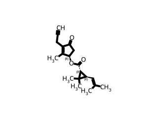 C#CCC1=C(C)[C@H](OC(=O)[C@@H]2[C@@H](C=C(C)C)C2(C)C)CC1=O